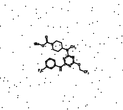 CN(c1nc(Nc2cccc(C(F)(F)F)c2)nc(OCC(F)(F)F)n1)C1CCN(C(=O)OC(C)(C)C)CC1